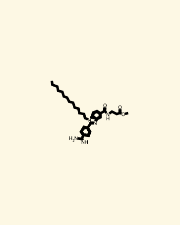 CCCCCCCCCCCCCCn1c(-c2ccc(C(=N)N)cc2)nc2cc(C(=O)NCCC(=O)OC)ccc21